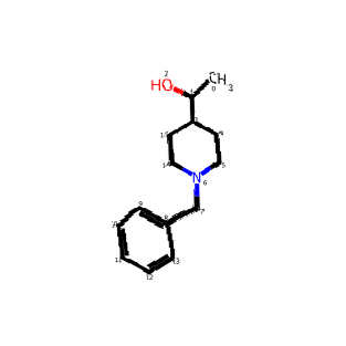 CC(O)C1CCN(Cc2ccccc2)CC1